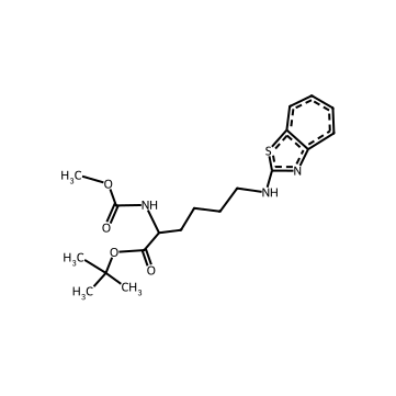 COC(=O)NC(CCCCNc1nc2ccccc2s1)C(=O)OC(C)(C)C